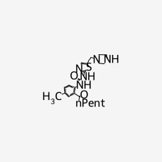 CCCCCC(=O)c1cc(C)ccc1NC(=O)Nc1ncc(CN2CCNCC2)s1